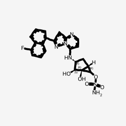 NS(=O)(=O)OC1[C@H]2C[C@@H](Nc3ccnc4cc(-c5cccc6c(F)cccc56)nn34)[C@H](O)[C@@]12O